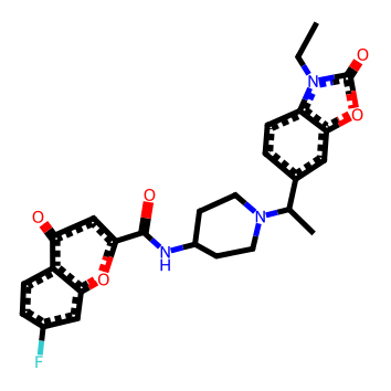 CCn1c(=O)oc2cc(C(C)N3CCC(NC(=O)c4cc(=O)c5ccc(F)cc5o4)CC3)ccc21